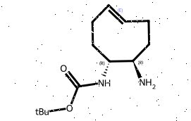 CC(C)(C)OC(=O)N[C@@H]1CC/C=C/CC[C@H]1N